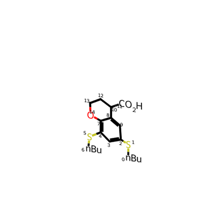 CCCCSc1cc(SCCCC)c2c(c1)C(C(=O)O)CCO2